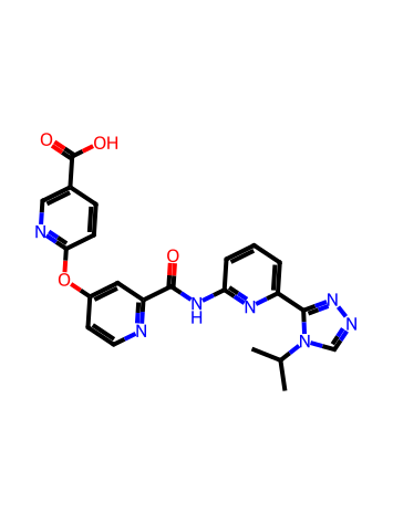 CC(C)n1cnnc1-c1cccc(NC(=O)c2cc(Oc3ccc(C(=O)O)cn3)ccn2)n1